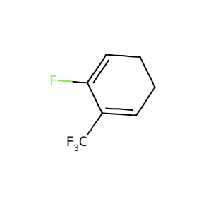 FC1=CCCC=C1C(F)(F)F